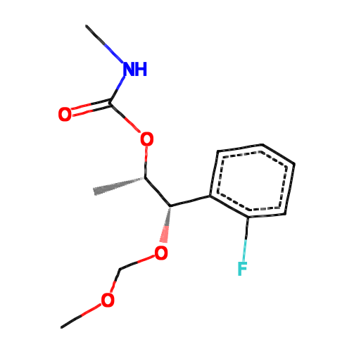 CNC(=O)O[C@@H](C)[C@@H](OCOC)c1ccccc1F